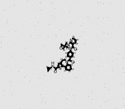 O=C(NC1CC1)c1cc2c(s1)-c1ccccc1N(C(=O)c1ccc(NC(=O)c3cccnc3N3CC4(COC4)C3)cc1)CC2